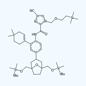 CC1(C)CC=C(c2cc(C3CC4(CO[Si](C)(C)C(C)(C)C)CCC(CO[Si](C)(C)C(C)(C)C)(C3)O4)ccc2NC(=O)c2nc(C#N)cn2COCC[Si](C)(C)C)CC1